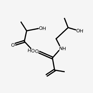 C=C(C)C(=O)NCC(C)O.CC(O)C(=O)O